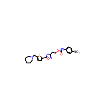 O=C(Nc1ccc([N+](=O)[O-])cc1)OCCc1noc(-c2ccc(CN3CCCCCC3)s2)n1